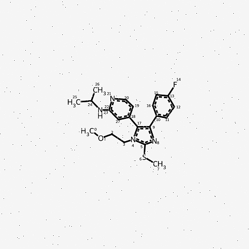 COCCn1c(SC)nc(-c2ccc(F)cc2)c1-c1ccnc(NC(C)C)c1